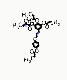 C=CC(=O)Oc1ccc(OC/C=C/c2cc(OC(=O)C=C)c(OC(=O)C=C)c(OC(=O)/C(C)=C/C)c2)cc1